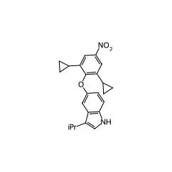 CC(C)c1c[nH]c2ccc(Oc3c(C4CC4)cc([N+](=O)[O-])cc3C3CC3)cc12